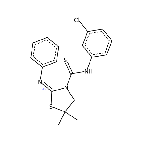 CC1(C)CN(C(=S)Nc2cccc(Cl)c2)/C(=N\c2ccccc2)S1